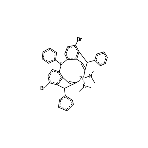 C[N](C)[Zr]1([N](C)C)[C]2=Cc3c(ccc(Br)c3C2c2ccccc2)P(c2ccccc2)c2ccc(Br)c3c2C=[C]1C3c1ccccc1